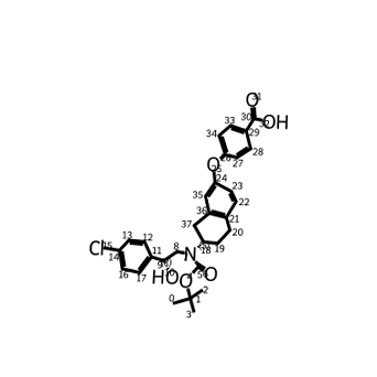 CC(C)(C)OC(=O)N(C[C@H](O)c1ccc(Cl)cc1)[C@H]1CCc2ccc(Oc3ccc(C(=O)O)cc3)cc2C1